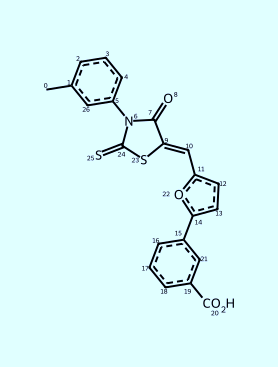 Cc1cccc(N2C(=O)/C(=C/c3ccc(-c4cccc(C(=O)O)c4)o3)SC2=S)c1